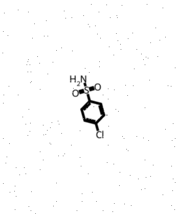 NS(=O)(=O)c1c[c]c(Cl)cc1